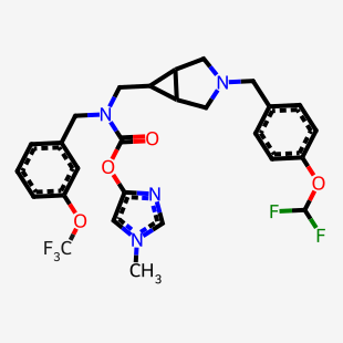 Cn1cnc(OC(=O)N(Cc2cccc(OC(F)(F)F)c2)CC2C3CN(Cc4ccc(OC(F)F)cc4)CC32)c1